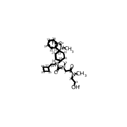 CN(CCO)C(=O)CN1C[C@]2(CC[C@](c3ccccc3)(N(C)C)CC2)N(CC2CCC2)C1=O